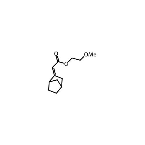 COCCOC(=O)C=C1CC2CCC1C2